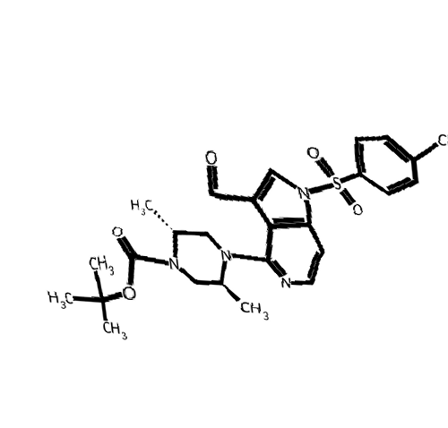 Cc1ccc(S(=O)(=O)n2cc(C=O)c3c(N4C[C@@H](C)N(C(=O)OC(C)(C)C)C[C@@H]4C)nccc32)cc1